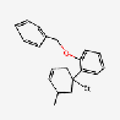 CCC1(c2ccccc2OCc2ccccc2)CC=CC(C)C1